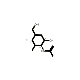 C=C(C)N[C@H]1C(C)[C@H](C)C(CO)C[C@H]1O